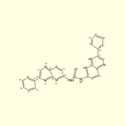 O=C(Nc1ccc2ncc(-c3ccccc3)nc2n1)Nc1ccc2ncc(-c3ccccc3)nc2n1